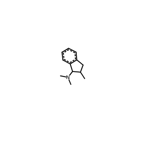 CC1Cc2ccccc2C1N(C)C